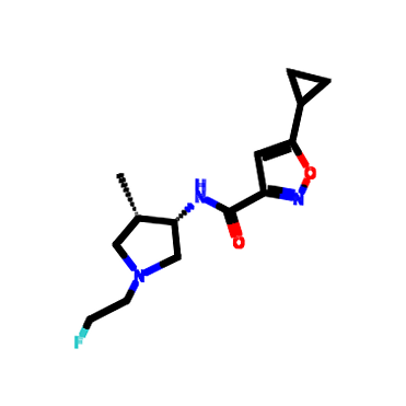 C[C@H]1CN(CCF)C[C@H]1NC(=O)c1cc(C2CC2)on1